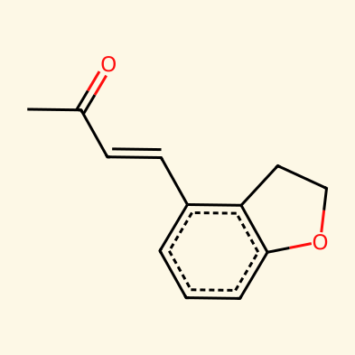 CC(=O)/C=C/c1cccc2c1CCO2